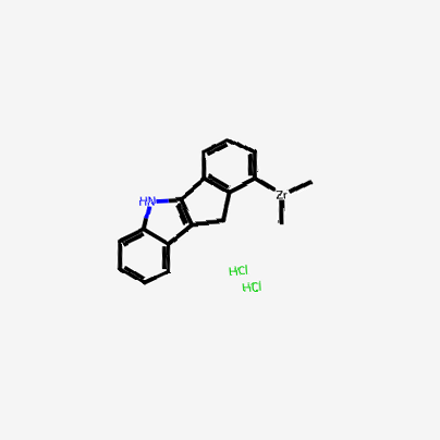 Cl.Cl.[CH3][Zr]([CH3])[c]1cccc2c1Cc1c-2[nH]c2ccccc12